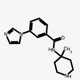 CC1(NC(=O)c2cccc(-n3ccnc3)c2)CCNCC1